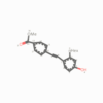 CCCCCCc1cc(O)ccc1C#Cc1ccc(C(=O)OC)cc1